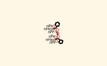 CCCCCCC(OCCC)(OCCC)C(OCOCOC(c1ccccc1)C(CCCCCC)(OCCC)OCCC)c1ccccc1